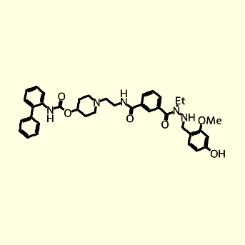 CCN(NCc1ccc(O)cc1OC)C(=O)c1cccc(C(=O)NCCN2CCC(OC(=O)Nc3ccccc3-c3ccccc3)CC2)c1